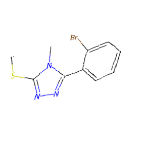 [CH2]Sc1nnc(-c2ccccc2Br)n1C